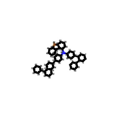 c1ccc(-c2ccccc2-c2ccc(N(c3ccc(-c4ccc5c(-c6ccccc6)cccc5c4)cc3)c3cccc4sc5ccccc5c34)cc2)cc1